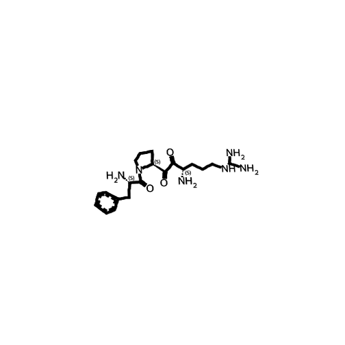 NC(N)NCCC[C@H](N)C(=O)C(=O)[C@@H]1CCCN1C(=O)[C@@H](N)Cc1ccccc1